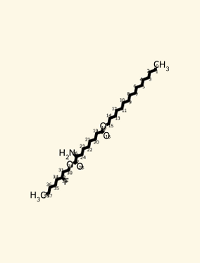 CCCCCCCCCCCCCCCCOC(=O)CCCCCCC(N)C(=O)OCCC(F)CCCCC